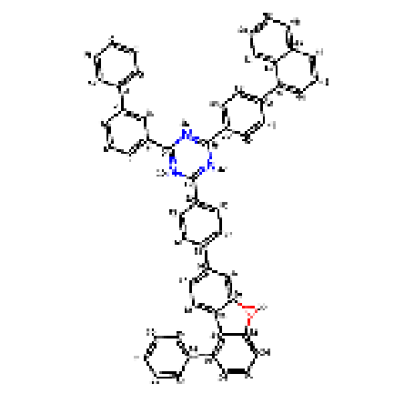 c1ccc(-c2cccc(-c3nc(-c4ccc(-c5ccc6c(c5)oc5cccc(-c7ccccc7)c56)cc4)nc(-c4ccc(-c5cccc6ccccc56)cc4)n3)c2)cc1